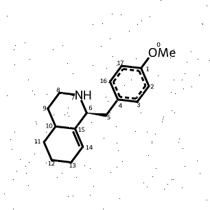 COc1ccc(C[C@@H]2NCCC3CCCC=C32)cc1